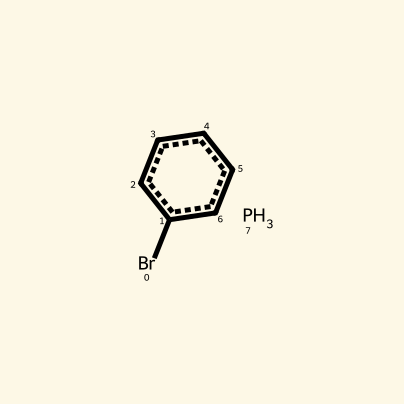 Brc1ccccc1.P